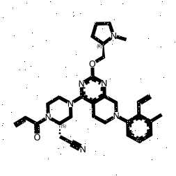 C=CC(=O)N1CCN(c2nc(OC[C@H]3CCCN3C)nc3c2CCN(c2cccc(C)c2C=C)C3)C[C@@H]1CC#N